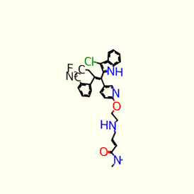 CN(C)C(=O)/C=C/CNCCOc1ccc(/C(=C(/CC(F)(F)F)c2ccccc2C#N)c2[nH]c3ccccc3c2Cl)cn1